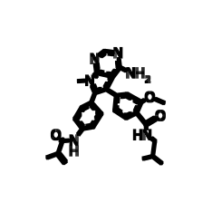 C=C(C)C(=O)Nc1ccc(-c2c(-c3ccc(C(=O)NCC(C)C)c(OC)c3)c3c(N)ncnc3n2C)cc1